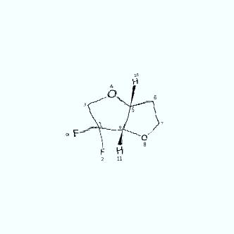 FC1(F)CO[C@@H]2CCO[C@@H]21